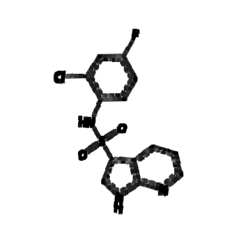 O=S(=O)(Nc1ccc(F)cc1Cl)c1c[nH]c2ncccc12